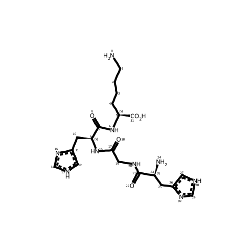 NCCCC[C@H](NC(=O)[C@H](Cc1c[nH]cn1)NC(=O)CNC(=O)[C@@H](N)Cc1c[nH]cn1)C(=O)O